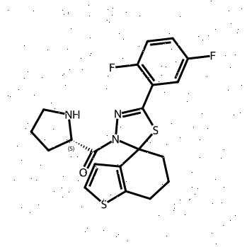 O=C([C@@H]1CCCN1)N1N=C(c2cc(F)ccc2F)SC12CCCc1sccc12